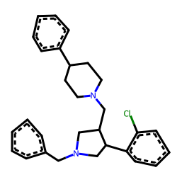 Clc1ccccc1C1CN(Cc2ccccc2)CC1CN1CCC(c2ccccc2)CC1